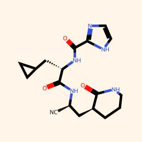 N#C[C@H](C[C@@H]1CCCNC1=O)NC(=O)[C@H](CC1CC1)NC(=O)c1ncc[nH]1